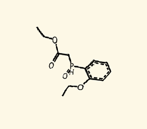 CCOC(=O)C[PH](=O)c1ccccc1OCC